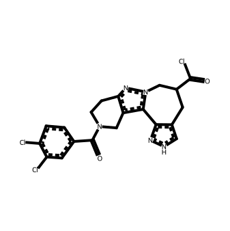 O=C(Cl)C1Cc2c[nH]nc2-c2c3c(nn2C1)CCN(C(=O)c1ccc(Cl)c(Cl)c1)C3